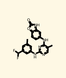 Cc1cc(Nc2ncc(C)c(Nc3ccc4oc(=O)[nH]c4c3)n2)cc(C(F)F)c1